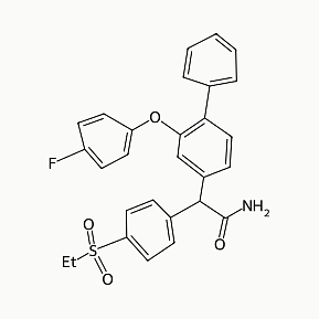 CCS(=O)(=O)c1ccc(C(C(N)=O)c2ccc(-c3ccccc3)c(Oc3ccc(F)cc3)c2)cc1